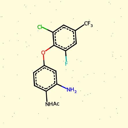 CC(=O)Nc1ccc(Oc2c(F)cc(C(F)(F)F)cc2Cl)cc1N